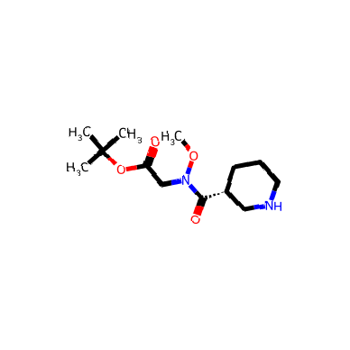 CON(CC(=O)OC(C)(C)C)C(=O)[C@@H]1CCCNC1